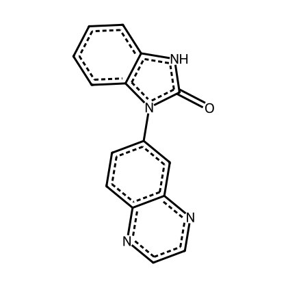 O=c1[nH]c2ccccc2n1-c1ccc2nccnc2c1